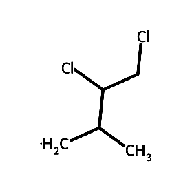 [CH2]C(C)C(Cl)CCl